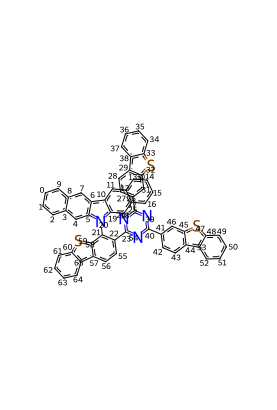 c1ccc2cc3c(cc2c1)c1cc2ccccc2cc1n3-c1c(-c2nc(-c3ccc4c(c3)sc3ccccc34)nc(-c3ccc4c(c3)sc3ccccc34)n2)ccc2c1sc1ccccc12